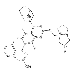 Cc1c(F)c(-c2cc(O)cc3cccc(F)c23)c(F)c2nc(OC[C@@]34CCCN3C[C@H](F)C4)nc(N3CC4CCC(C3)N4)c12